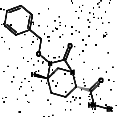 CCNC(=O)[C@@H]1CC[C@H]2CN1C(=O)N2OCc1ccccc1